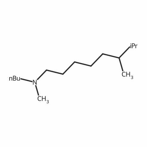 CCCCN(C)CCCCCC(C)C(C)C